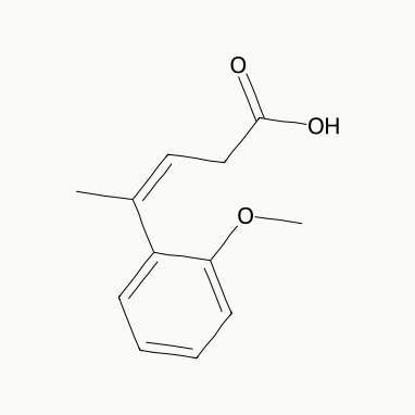 COc1ccccc1/C(C)=C\CC(=O)O